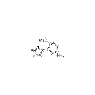 COc1ncc(N)cc1-n1ccnn1